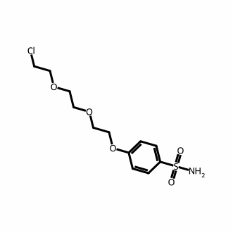 NS(=O)(=O)c1ccc(OCCOCCOCCCl)cc1